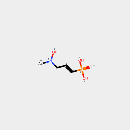 CC(=O)N(O)CC=CP(=O)(O)O